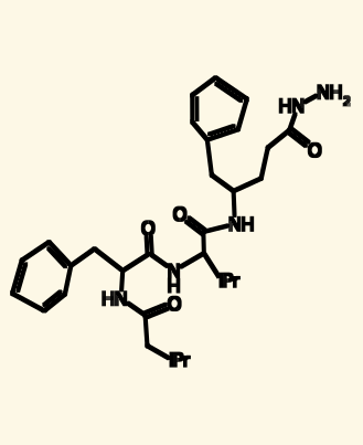 CC(C)CC(=O)NC(Cc1ccccc1)C(=O)NC(C(=O)NC(CCC(=O)NN)Cc1ccccc1)C(C)C